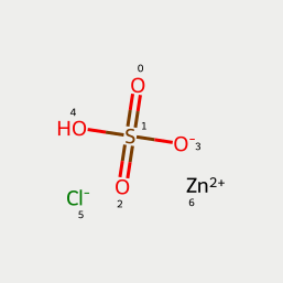 O=S(=O)([O-])O.[Cl-].[Zn+2]